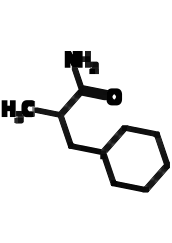 CC(C[C]1CCCCC1)C(N)=O